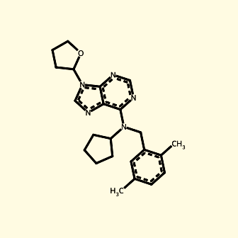 Cc1ccc(C)c(CN(c2ncnc3c2ncn3C2CCCO2)C2CCCC2)c1